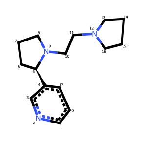 c1cncc([C@H]2CCCN2CCN2CCCC2)c1